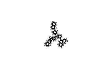 c1cc(-c2cc3ccccc3c3ccccc23)cc(N(c2ccc(-c3ccc4ccccc4c3)cc2)c2ccc3c(c2)sc2cc4ccccc4cc23)c1